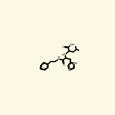 CC(C)CC(NC(Cc1cnc[nH]1)C(=O)NCCc1ccccc1)C(=O)O